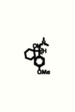 [2H][C@@](CN(C)C)(c1ccc(OC)cc1)C1(O)CCCCC1